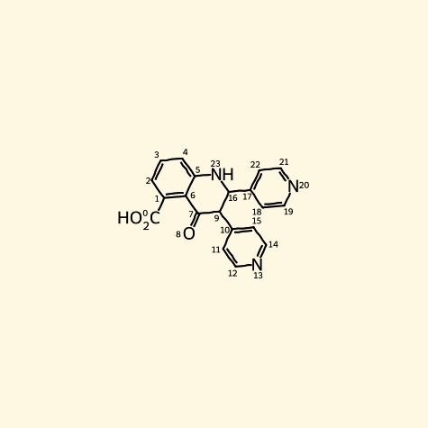 O=C(O)c1cccc2c1C(=O)C(c1ccncc1)C(c1ccncc1)N2